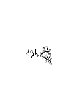 CC(C)(C)OC(=O)NC[C@H](CO[Si](C)(C)C(C)(C)C)O[Si](C)(C)C(C)(C)C